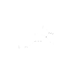 C=CCCC(C)(C)C(=O)CC